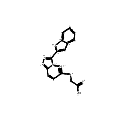 O=C(O)CSc1ccc2nnc(-c3cc4ccccc4s3)n2n1